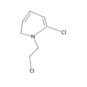 ClCCN1CC=CC=C1Cl